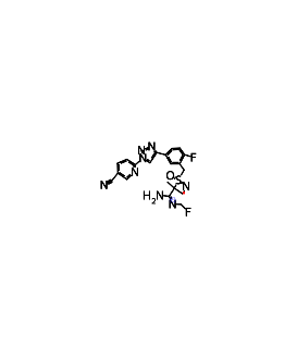 CN=S(=O)(Cc1cc(-c2cn(-c3ccc(C#N)cn3)nn2)ccc1F)C(C)(C)/C(N)=N\CF